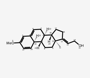 COC1=CC2=CC[C@@H]3[C@H](CC[C@]4(C)/C(=C/CO)CC[C@@H]34)[C@H]2C=C1